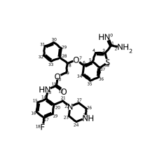 N=C(N)c1cc2c(OC(COC(=O)Nc3ccc(F)cc3CN3CCNCC3)c3ccccc3)cccc2s1